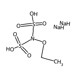 CCON(S(=O)(=O)O)S(=O)(=O)O.[NaH].[NaH]